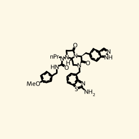 CCCN(C(=O)NCc1ccc(OC)cc1)N1CC(=O)N2[C@@H](Cc3ccc4[nH]ncc4c3)C(=O)N(Cc3cccc4sc(N)nc34)C[C@@H]21